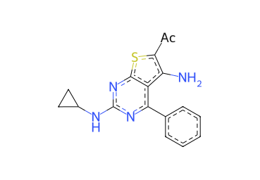 CC(=O)c1sc2nc(NC3CC3)nc(-c3ccccc3)c2c1N